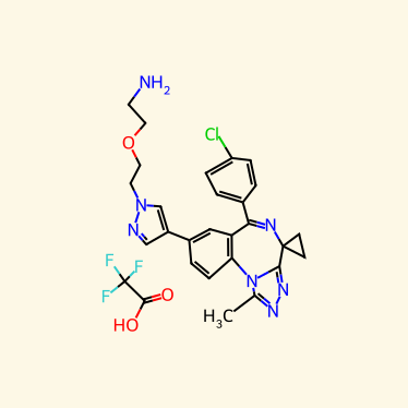 Cc1nnc2n1-c1ccc(-c3cnn(CCOCCN)c3)cc1C(c1ccc(Cl)cc1)=NC21CC1.O=C(O)C(F)(F)F